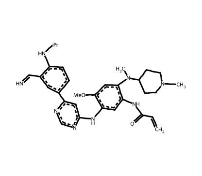 C=CC(=O)Nc1cc(Nc2cc(-c3ccc(NC(C)C)c(C=N)c3)ncn2)c(OC)cc1N(C)C1CCN(C)CC1